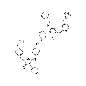 COCc1cccc(/C=C2\S/C(=N\Cc3ccccc3)N(c3cccc(COc4ccc(/N=C5\S/C(=C\c6ccc(CO)cc6)C(=O)N5c5ccccc5)cc4)c3)C2=O)c1